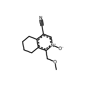 COCc1c2c(c(C#N)c[n+]1[O-])CCCC2